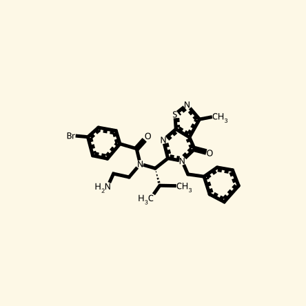 Cc1nsc2nc([C@H](C(C)C)N(CCN)C(=O)c3ccc(Br)cc3)n(Cc3ccccc3)c(=O)c12